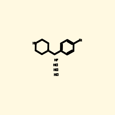 CCc1ccc(CN2CCNCC2)cc1.Cl.Cl.Cl.F